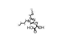 CCCCn1ccnc1CSC.O=C(O)C(=O)O